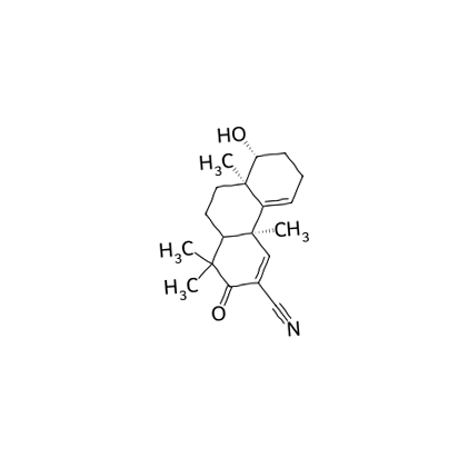 CC1(C)C(=O)C(C#N)=C[C@]2(C)C3=CCC[C@@H](O)[C@]3(C)CCC12